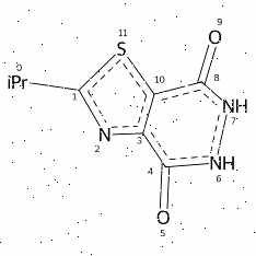 CC(C)c1nc2c(=O)[nH][nH]c(=O)c2s1